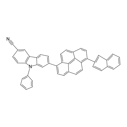 N#Cc1ccc2c(c1)c1ccc(-c3ccc4ccc5c(-c6ccc7ccccc7c6)ccc6ccc3c4c65)cc1n2-c1ccccc1